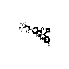 Nc1nc2c(c(=O)n1C(c1ccc(F)cc1)C1CCC1)CCN(C(=O)CC(C(F)(F)F)C(F)(F)F)C2